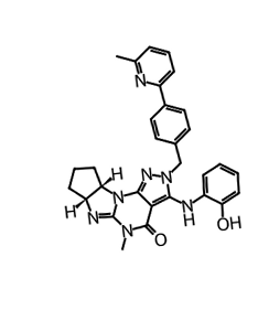 Cc1cccc(-c2ccc(Cn3nc4c(c3Nc3ccccc3O)C(=O)N(C)C3=N[C@@H]5CCC[C@@H]5N34)cc2)n1